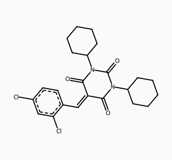 O=C1C(=Cc2ccc(Cl)cc2Cl)C(=O)N(C2CCCCC2)C(=O)N1C1CCCCC1